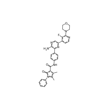 Cc1c(C(=O)Nc2ccc(-c3nc(-c4ccnc(N5CCOCC5)c4F)cnc3N)cc2)c(=O)n(-c2ccccc2)n1C